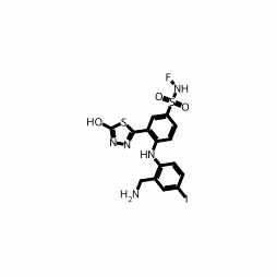 NCc1cc(I)ccc1Nc1ccc(S(=O)(=O)NF)cc1-c1nnc(O)s1